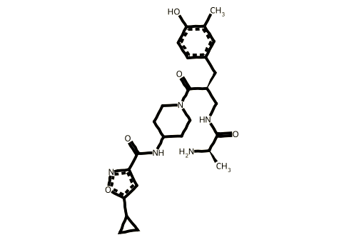 Cc1cc(C[C@@H](CNC(=O)[C@@H](C)N)C(=O)N2CCC(NC(=O)c3cc(C4CC4)on3)CC2)ccc1O